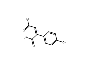 NC(=O)/C=C(\C(N)=O)c1ccc(O)cc1